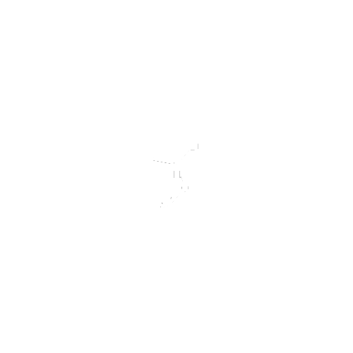 CC[SiH](C)OC(C)=O